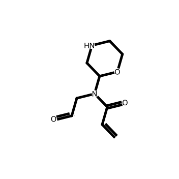 C=CC(=O)N(C[C]=O)C1CNCCO1